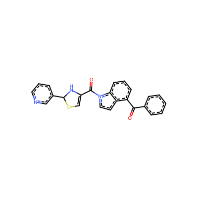 O=C(c1ccccc1)c1cccc2c1ccn2C(=O)C1=CSC(c2cccnc2)N1